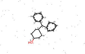 OC1CCC(C(c2ccccc2)c2ccccc2)CC1